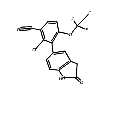 N#Cc1ccc(OC(F)(F)F)c(-c2ccc3c(c2)CC(=O)N3)c1Cl